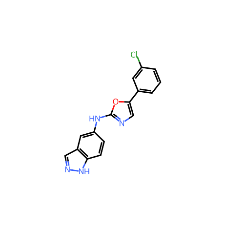 Clc1cccc(-c2cnc(Nc3ccc4[nH]ncc4c3)o2)c1